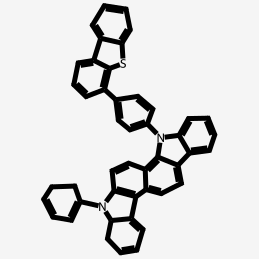 C1=CCCC(N2c3ccc4c(ccc5c6ccccc6n(-c6ccc(-c7cccc8c7sc7ccccc78)cc6)c45)c3C3=CC=CCC32)=C1